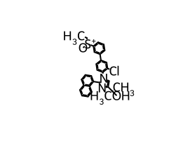 CC[S+]([O-])c1cccc(-c2ccc(-n3cc(C(C)(C)O)nc3-c3cccc4ccccc34)c(Cl)c2)c1